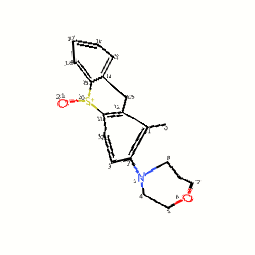 Cc1c(N2CCOCC2)ccc2c1Cc1ccccc1[S+]2[O-]